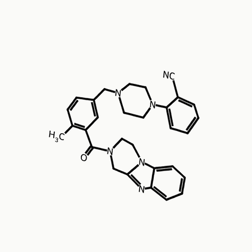 Cc1ccc(CN2CCN(c3ccccc3C#N)CC2)cc1C(=O)N1CCn2c(nc3ccccc32)C1